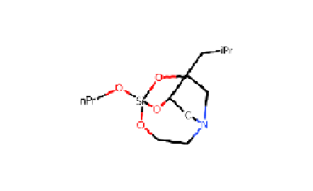 CCCO[Si]12OCCN(CCO1)CC(CC(C)C)O2